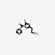 CCCc1nc(F)n(C(=O)n2cncn2)n1